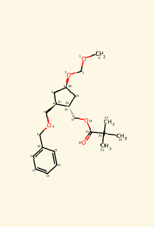 COCO[C@@H]1C[C@H](COCc2ccccc2)[C@@H](COC(=O)C(C)(C)C)C1